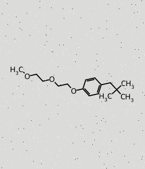 COCCOCCOc1ccc(CC(C)(C)C)cc1